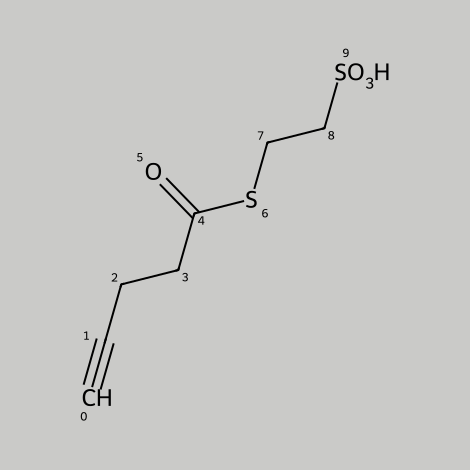 C#CCCC(=O)SCCS(=O)(=O)O